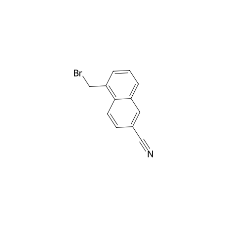 N#Cc1ccc2c(CBr)cccc2c1